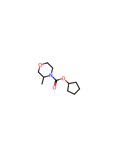 CC1COCCN1C(=O)OC1CCCC1